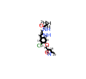 [2H]C([2H])([2H])C(=O)NCc1cc2cc(Cl)c(OCc3cc(C)no3)cc2[nH]1